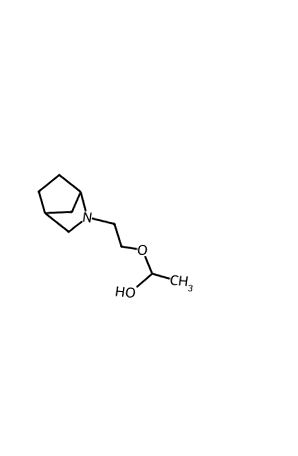 CC(O)OCCN1CC2CCC1C2